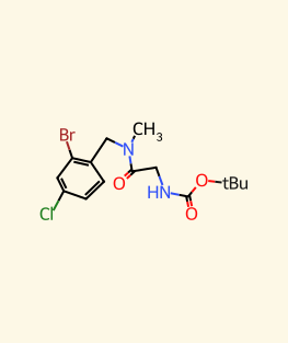 CN(Cc1ccc(Cl)cc1Br)C(=O)CNC(=O)OC(C)(C)C